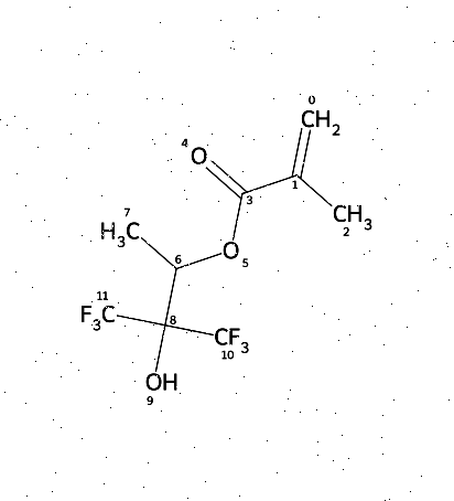 C=C(C)C(=O)OC(C)C(O)(C(F)(F)F)C(F)(F)F